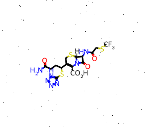 NC(=O)CCC(Sc1nnn[nH]1)C1=C(C(=O)O)N2C(=O)C(NC(=O)CSC(F)(F)F)[C@@H]2SC1